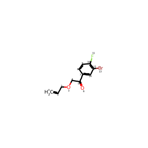 C=CCOCC(=O)c1ccc(F)c(Br)c1